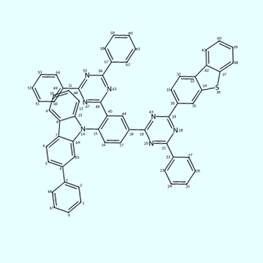 c1ccc(-c2ccc3c4ccccc4n(-c4ccc(-c5nc(-c6ccccc6)nc(-c6ccc7c(c6)sc6ccccc67)n5)cc4-c4nc(-c5ccccc5)nc(-c5ccccc5)n4)c3c2)cc1